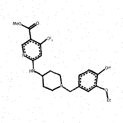 CCOc1cc(CN2CCC(Nc3cc(C(F)(F)F)c(C(=O)OC)cn3)CC2)ccc1O